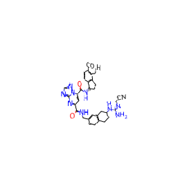 Cc1c(C(=O)O)ccc2c1CC[C@@H]2NC(=O)c1cc(C(=O)NCc2ccc3c(c2)CC(N/C(N)=N\CC#N)CC3)nc2ncnn12